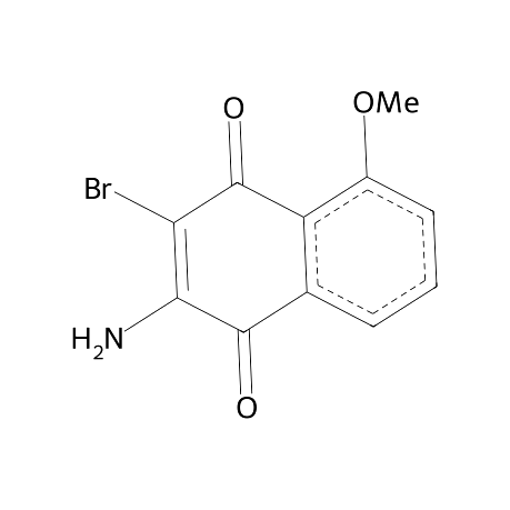 COc1cccc2c1C(=O)C(Br)=C(N)C2=O